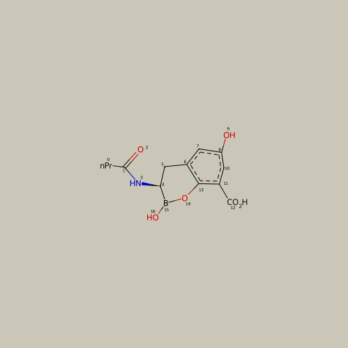 CCCC(=O)N[C@H]1Cc2cc(O)cc(C(=O)O)c2OB1O